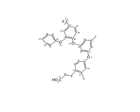 Cc1cc(Oc2ccc(CCC(=O)O)c(C)c2)cc(Oc2ccc(C(F)(F)F)cc2Oc2ccccc2)c1